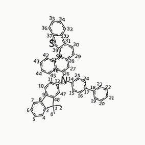 CC1(C)c2ccccc2-c2ccc(N(c3ccc(-c4ccccc4)cc3)c3cc4ccc5c6ccccc6sc5c4c4ccccc34)cc21